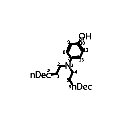 CCCCCCCCCCCCN(CCCCCCCCCCCC)c1ccc(O)cc1